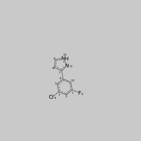 Fc1cc(Cl)cc(-c2[c]c[nH]n2)c1